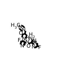 CN1CCN(CC2CCN(c3c(F)cncc3NC(=O)c3c(N)nn4cc(F)cnc34)CC2)C(=O)C1